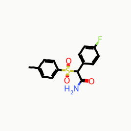 Cc1ccc(S(=O)(=O)C(C(N)=O)c2ccc(F)cc2)cc1